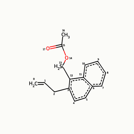 C=CCc1ccc2ccccc2c1[SiH2]OC(C)=O